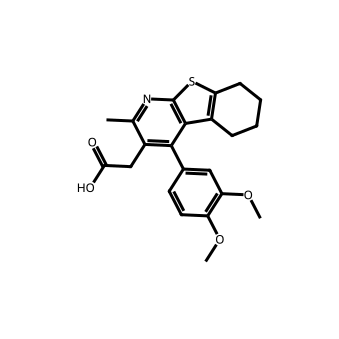 COc1ccc(-c2c(CC(=O)O)c(C)nc3sc4c(c23)CCCC4)cc1OC